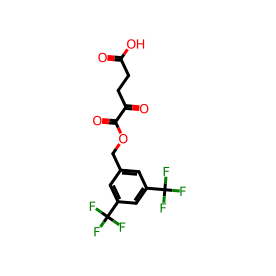 O=C(O)CCC(=O)C(=O)OCc1cc(C(F)(F)F)cc(C(F)(F)F)c1